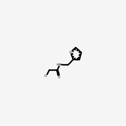 O=C(CCl)NCc1ccco1